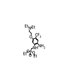 CCOP(=O)(CNc1cc(OCCN(CC)CC)c(C(F)(F)F)cc1N)OCC